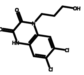 O=c1[nH]c2cc(Cl)c(Cl)cc2n(CCCO)c1=O